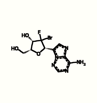 Nc1ncnn2c([C@@H]3O[C@H](CO)[C@H](O)C3(F)Br)cnc12